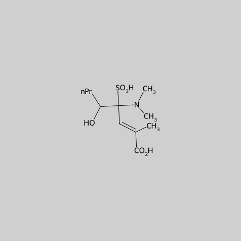 CCCC(O)C(/C=C(\C)C(=O)O)(N(C)C)S(=O)(=O)O